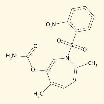 CC1=CC=C(C)N(S(=O)(=O)c2ccccc2[N+](=O)[O-])C=C1OC(N)=O